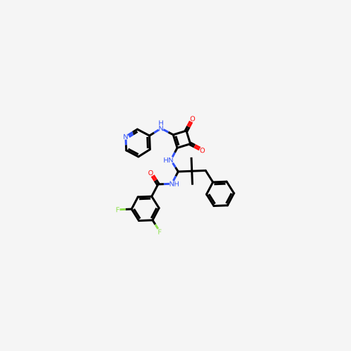 CC(C)(Cc1ccccc1)C(NC(=O)c1cc(F)cc(F)c1)Nc1c(Nc2cccnc2)c(=O)c1=O